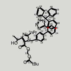 CCCc1nc(C(C)O)c(C(=O)OCOC(=O)C(C)(C)C)n1Cc1ccc(-c2ccccc2-c2nnnn2C(c2ccccc2)(c2ccccc2)c2ccccc2)cc1